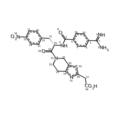 N=C(N)c1ccc(C(=O)N[C@@H](Cc2ccc([N+](=O)[O-])cc2)C(=O)N2CCc3nc(CC(=O)O)sc3C2)cc1